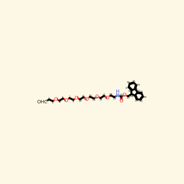 O=CCCOCCOCCOCCOCCOCCOCCNC(=O)OCC1c2ccccc2-c2ccccc21